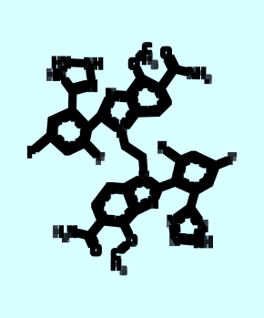 COc1c(C(N)=O)ccc2c1nc(-c1c(F)cc(F)cc1C1=NNNN1)n2CCn1c(-c2c(F)cc(F)cc2-c2nn[nH]n2)nc2c(OC)c(C(N)=O)ccc21